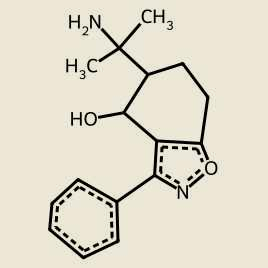 CC(C)(N)C1CCc2onc(-c3ccccc3)c2C1O